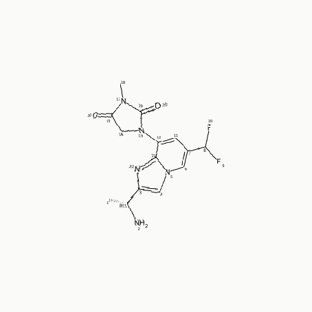 C[C@@H](N)c1cn2cc(C(F)F)cc(N3CC(=O)N(C)C3=O)c2n1